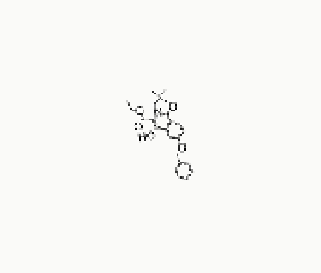 CCOC(=O)c1c(O)c2cc(OCc3ccccc3)ccc2c(=O)n1CC(C)(C)C